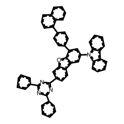 c1ccc(-c2nc(-c3ccccc3)nc(-c3ccc4c(c3)oc3c(-c5ccc(-c6cccc7ccccc67)cc5)cc(-n5c6ccccc6c6ccccc65)cc34)n2)cc1